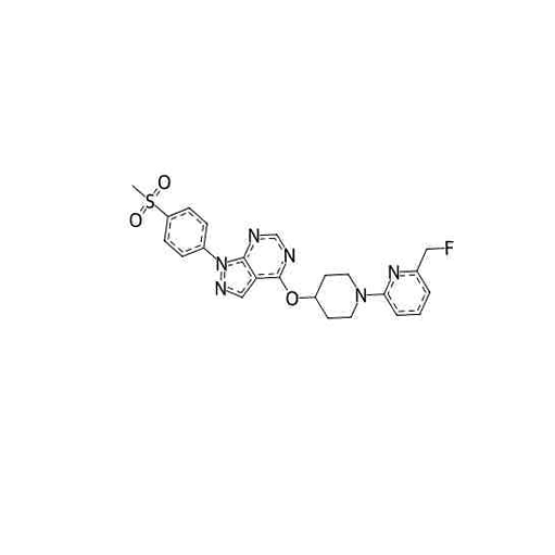 CS(=O)(=O)c1ccc(-n2ncc3c(OC4CCN(c5cccc(CF)n5)CC4)ncnc32)cc1